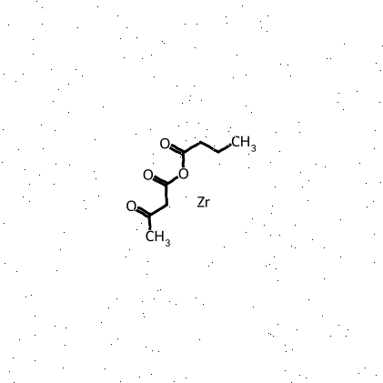 CCCC(=O)OC(=O)CC(C)=O.[Zr]